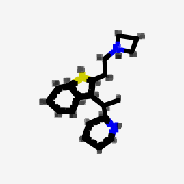 CC(c1ccccn1)c1c(CCN2CCC2)sc2ccccc12